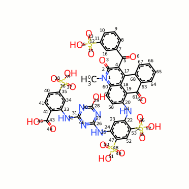 Cn1c(=O)c(C(=O)c2cccc(S(=O)(=O)O)c2)c2c3c(c(Nc4cc(Nc5nc(O)nc(Nc6cc(S(=O)(=O)O)ccc6C(=O)O)n5)c(S(=O)(=O)O)cc4S(=O)(=O)O)ccc31)C(=O)c1ccccc1-2